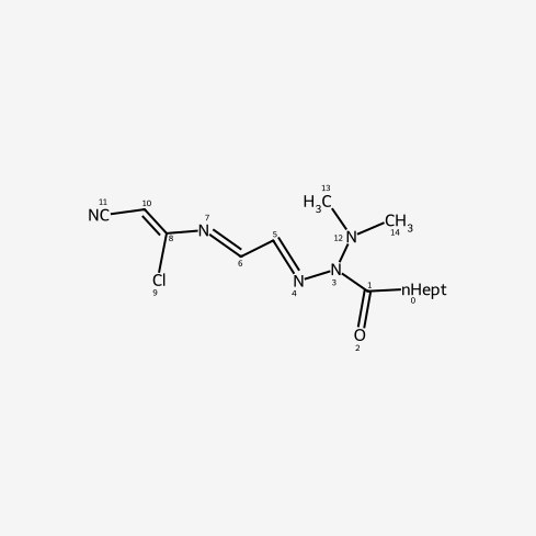 CCCCCCCC(=O)N(N=CC=NC(Cl)=CC#N)N(C)C